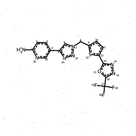 Nc1ccc(-c2cn(Cc3ccc(-c4nnc(C(F)(F)F)o4)s3)nn2)cn1